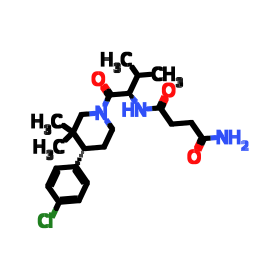 CC(C)[C@@H](NC(=O)CCC(N)=O)C(=O)N1CC[C@H](c2ccc(Cl)cc2)C(C)(C)C1